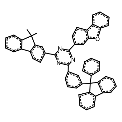 CC1(C)c2ccccc2-c2ccc(-c3nc(-c4cccc(C5(c6ccccc6)c6ccccc6-c6ccccc65)c4)nc(-c4ccc5c(c4)oc4ccccc45)n3)cc21